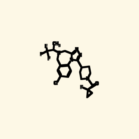 CC(N1Cc2cc(Cl)ccc2-n2c(nnc2C2CCN(C(=O)C3(F)CC3)CC2)C1)C(F)(F)F